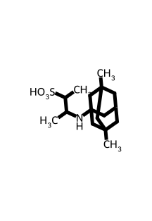 CC(NC12CC3CC(C)(CC(C)(C3)C1)C2)C(C)S(=O)(=O)O